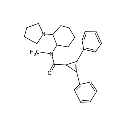 CN(C(=O)C1C(c2ccccc2)=C1c1ccccc1)C1CCCCC1N1CCCC1